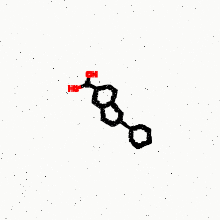 OB(O)c1ccc2cc(-c3ccccc3)ccc2c1